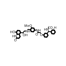 COc1cc(NC(=O)COc2cccc([C@@H](NC(=O)O)c3ccccc3)c2)ccc1CNC[C@H](O)c1ccc(O)c2[nH]c(=O)ccc12